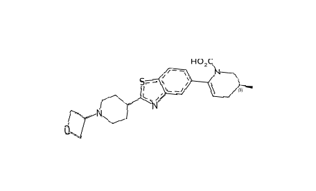 C[C@H]1CC=C(c2ccc3sc(C4CCN(C5COC5)CC4)nc3c2)N(C(=O)O)C1